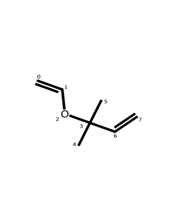 C=COC(C)(C)C=C